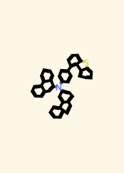 c1ccc2c(c1)ccc1ccc(N(c3ccc(-c4cccc5sc6ccccc6c45)cc3)c3cc4ccccc4c4ccccc34)cc12